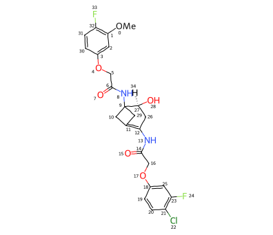 COc1cc(OCC(=O)NC23CC(=C(NC(=O)COc4ccc(Cl)c(F)c4)C[C@@H]2O)C3)ccc1F